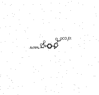 CCOC(=O)OCC(=O)N1CC2CC2(c2ccc(N3C[C@H](CNC(C)=O)OC3=O)cc2)C1